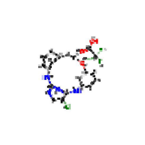 Clc1cnc2nc1Nc1cccc(c1)OCCc1cccc(c1)N2.O=C(O)C(F)(F)F